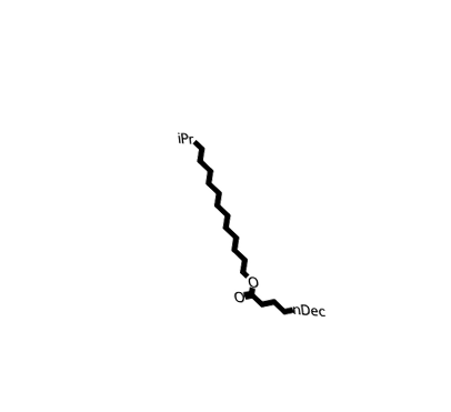 CCCCCCCCCCCCCC(=O)OCCCCCCCCCCCCC(C)C